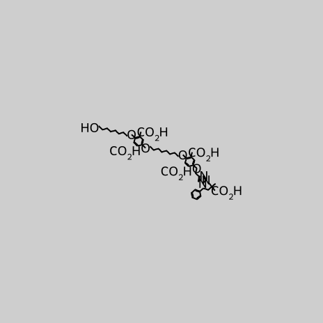 CC(C)(CC(c1ccccc1)n1cc(COc2cc(C(=O)O)c(OCCCCCCCCOc3cc(C(=O)O)c(OCCCCCCCCO)cc3C(=O)O)cc2C(=O)O)nn1)C(=O)O